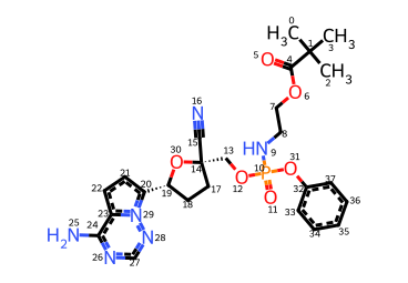 CC(C)(C)C(=O)OCCNP(=O)(OC[C@]1(C#N)CC[C@H](c2ccc3c(N)ncnn23)O1)Oc1ccccc1